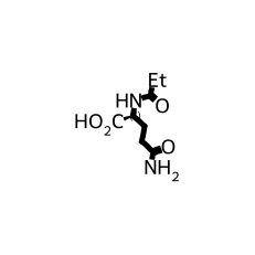 CCC(=O)N[C@@H](CCC(N)=O)C(=O)O